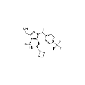 CC(c1ccc(C(F)(F)F)cc1)n1nc(CO)c2c(=O)[nH]c(N3CCC3)nc21